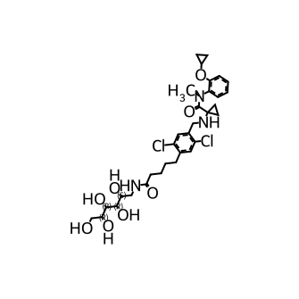 CN(C(=O)C1(NCc2cc(Cl)c(CCCCC(=O)NC[C@H](O)[C@@H](O)[C@H](O)[C@H](O)CO)cc2Cl)CC1)c1ccccc1OC1CC1